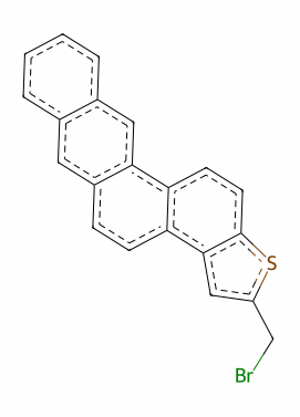 BrCc1cc2c(ccc3c4cc5ccccc5cc4ccc23)s1